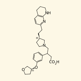 O=C(O)CC(CN1CC[C@@H](CCc2ccc3c(n2)NCCC3)C1)c1cccc(O[C@H]2CCOC2)c1